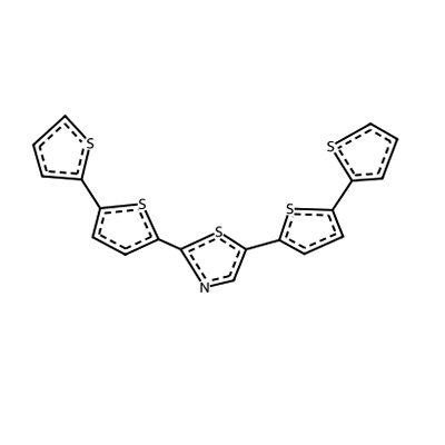 c1csc(-c2ccc(-c3cnc(-c4ccc(-c5cccs5)s4)s3)s2)c1